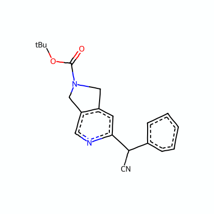 CC(C)(C)OC(=O)N1Cc2cnc(C(C#N)c3ccccc3)cc2C1